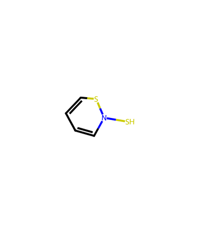 SN1C=CC=CS1